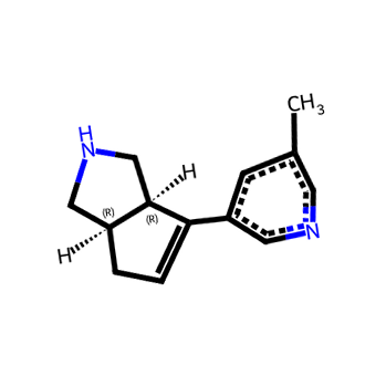 Cc1cncc(C2=CC[C@H]3CNC[C@@H]23)c1